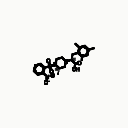 Cc1cc(C)c(C[C@@H](C(=O)O)N2CCN(S(=O)(=O)c3ccccc3[N+](=O)[O-])[C@@H](C)C2)c(C)c1